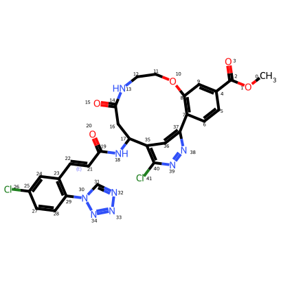 COC(=O)c1ccc2c(c1)OCCNC(=O)CC(NC(=O)/C=C/c1cc(Cl)ccc1-n1cnnn1)c1cc-2nnc1Cl